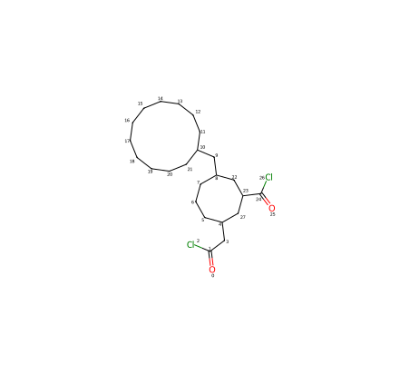 O=C(Cl)CC1CCCC(CC2CCCCCCCCCCC2)CC(C(=O)Cl)C1